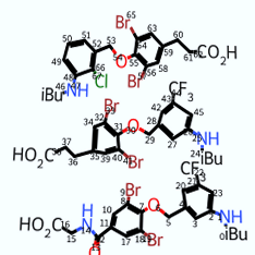 CCC(C)Nc1cc(COc2c(Br)cc(C(=O)NCC(=O)O)cc2Br)cc(C(F)(F)F)c1.CCC(C)Nc1cc(COc2c(Br)cc(CCC(=O)O)cc2Br)cc(C(F)(F)F)c1.CCC(C)Nc1cccc(COc2c(Br)cc(CCC(=O)O)cc2Br)c1Cl